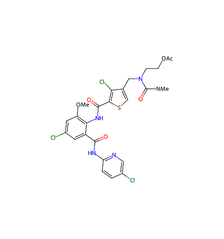 CNC(=O)N(CCOC(C)=O)Cc1csc(C(=O)Nc2c(OC)cc(Cl)cc2C(=O)Nc2ccc(Cl)cn2)c1Cl